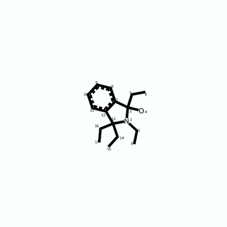 CCN1C([O])(CC)c2ccccc2C1(CC)CC